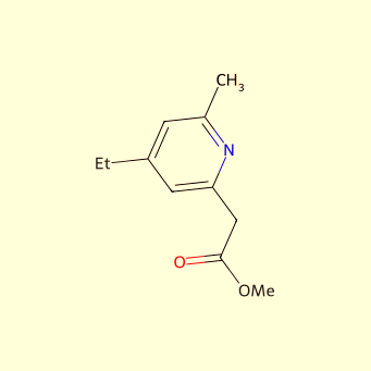 CCc1cc(C)nc(CC(=O)OC)c1